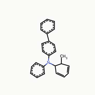 CC1C=CC=CC1N(c1ccccc1)c1ccc(-c2ccccc2)cc1